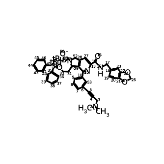 CN(C)CC#Cc1cccc(-c2nc(C(=O)NCc3ccc4c(c3)OCO4)cc3c2C(CCO[Si](c2ccccc2)(c2ccccc2)C(C)(C)C)N([S@@+]([O-])C(C)(C)C)C3)c1